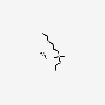 CCOCCC[Si](C)(C)OCC.CN